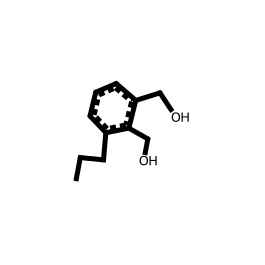 CCCc1cccc(CO)c1CO